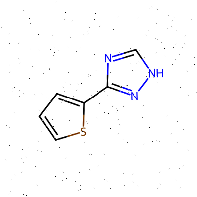 c1csc(-c2nc[nH]n2)c1